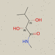 CNC(=O)[C@H](O)[C@@H](O)C(C)C